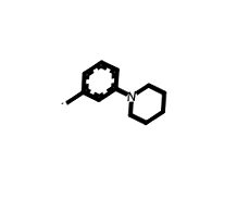 [CH2]c1cccc(N2CCCCC2)c1